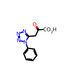 O=C(O)C(=O)Cc1nnnn1-c1ccccc1